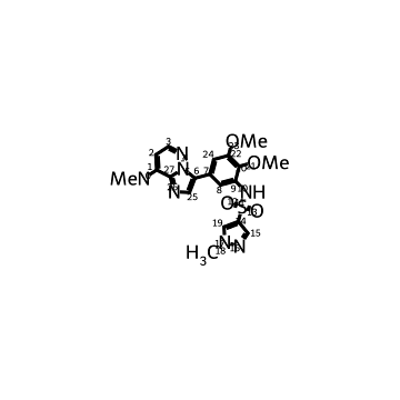 CNc1ccnn2c(-c3cc(NS(=O)(=O)c4cnn(C)c4)c(OC)c(OC)c3)cnc12